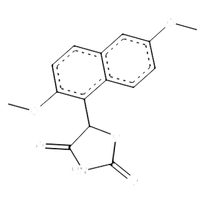 COc1ccc2c(C3OC(=O)NC3=O)c(OC)ccc2c1